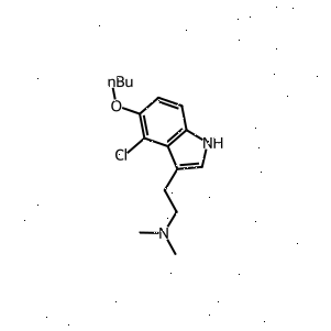 CCCCOc1ccc2[nH]cc(CCN(C)C)c2c1Cl